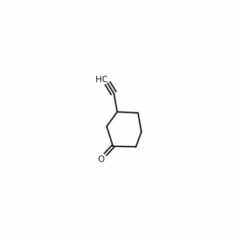 C#CC1CCCC(=O)C1